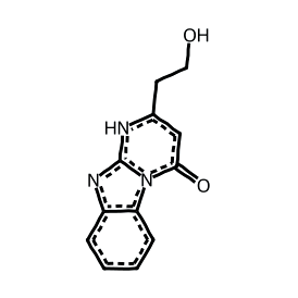 O=c1cc(CCO)[nH]c2nc3ccccc3n12